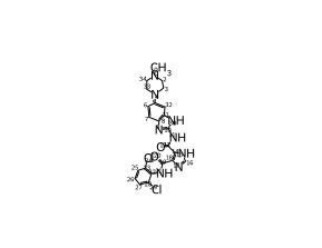 CN1CCN(c2ccc3nc(NC(=O)c4[nH]cnc4C(=O)Nc4c(Cl)cccc4Cl)[nH]c3c2)CC1